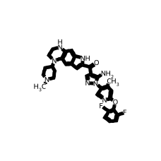 Cc1cc(Oc2c(F)cccc2F)ncc1-n1ncc(C(=O)c2cc3cc4c(cc3[nH]2)NCCN4C2CCN(C)CC2)c1N